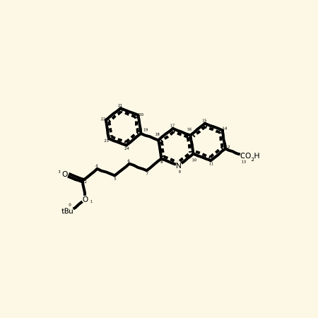 CC(C)(C)OC(=O)CCCCc1nc2cc(C(=O)O)ccc2cc1-c1ccccc1